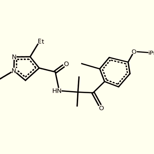 CCc1nn(C)cc1C(=O)NC(C)(C)C(=O)c1ccc(OC(C)C)cc1C